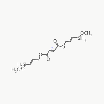 CO[SiH2]C=CCOC(=O)/C=C/C(=O)OCC=C[SiH2]OC